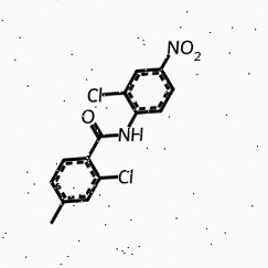 Cc1ccc(C(=O)Nc2ccc([N+](=O)[O-])cc2Cl)c(Cl)c1